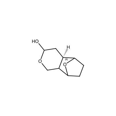 OC1C[C@H]2C3CCC(O3)C2CO1